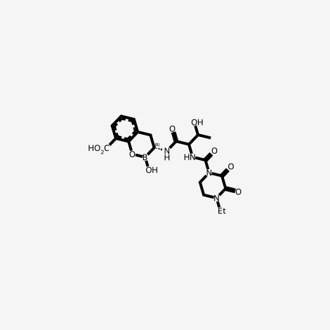 CCN1CCN(C(=O)NC(C(=O)N[C@H]2Cc3cccc(C(=O)O)c3OB2O)C(C)O)C(=O)C1=O